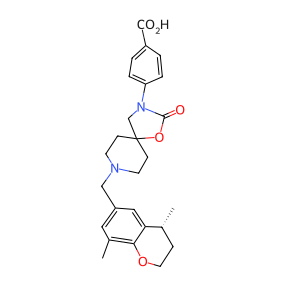 Cc1cc(CN2CCC3(CC2)CN(c2ccc(C(=O)O)cc2)C(=O)O3)cc2c1OCC[C@H]2C